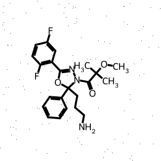 COC(C)(C)C(=O)N1N=C(c2cc(F)ccc2F)OC1(CCCN)c1ccccc1